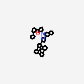 c1ccc(-c2cccc3c2oc2c(Nc4cc5ccccc5cc4-c4ccc(-c5ccc6c(c5)C5(c7ccccc7-c7ccccc75)c5ccccc5-6)cc4)cccc23)cc1